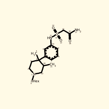 CCCCCCN1CCC(C)(c2cccc(NS(=O)(=O)CC(N)=O)c2)C(C)C1